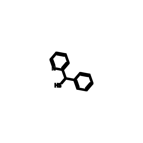 SC(c1ccccc1)c1ccccn1